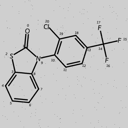 O=c1sc2ccccc2n1-c1ccc(C(F)(F)F)cc1Cl